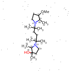 COC1CCN(C(C)(C)CCC(C)(C)N2CCC(C)(O)C2C)[C@@H]1C